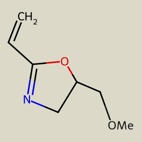 C=CC1=NCC(COC)O1